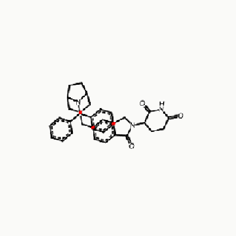 O=C1CCC(N2Cc3cc(CN4CC5CCC(C4)N5C(c4ccccc4)c4ccccc4)ccc3C2=O)C(=O)N1